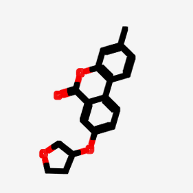 Cc1ccc2c(c1)oc(=O)c1cc(OC3CCOC3)ccc12